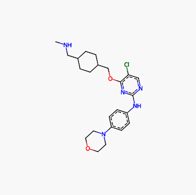 CNCC1CCC(COc2nc(Nc3ccc(N4CCOCC4)cc3)ncc2Cl)CC1